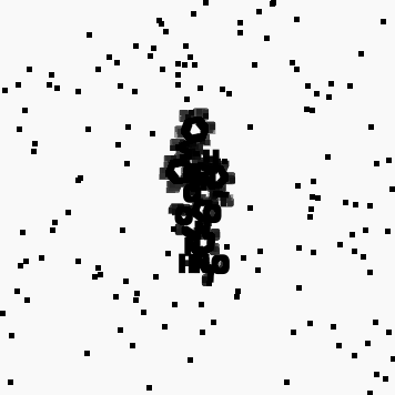 C=C1N=C(NC(C)=O)C=CN1[C@@H]1O[C@H](CC)[C@H](O[P@@]2O[C@H](C[Si](C)(c3ccccc3)c3ccccc3)[C@@H]3CCCN32)C1OC